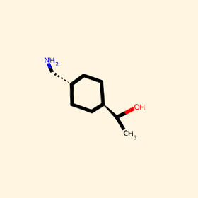 CC(O)[C@H]1CC[C@H](CN)CC1